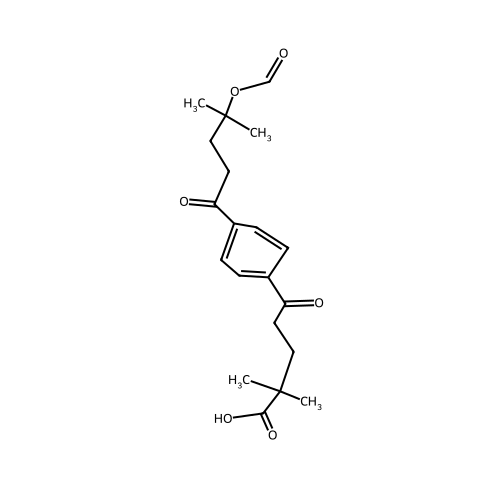 CC(C)(CCC(=O)c1ccc(C(=O)CCC(C)(C)C(=O)O)cc1)OC=O